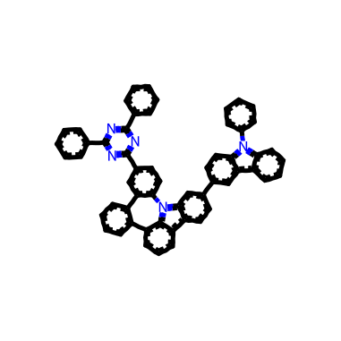 c1ccc(-c2nc(-c3ccccc3)nc(-c3ccc4c(c3)-c3ccccc3-c3cccc5c6ccc(-c7ccc8c(c7)c7ccccc7n8-c7ccccc7)cc6n-4c35)n2)cc1